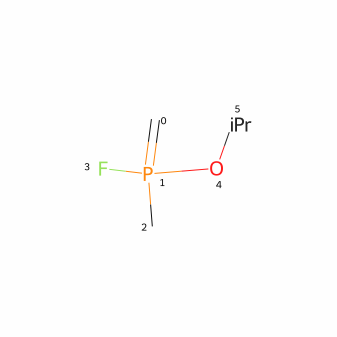 C=P(C)(F)OC(C)C